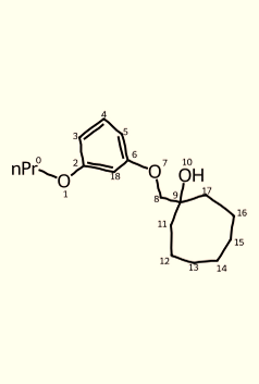 CCCOc1cccc(OCC2(O)CCCCCCC2)c1